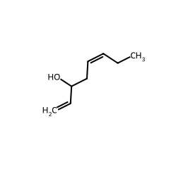 C=CC(O)C/C=C\CC